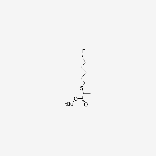 CC(SCCCCCCF)C(=O)OC(C)(C)C